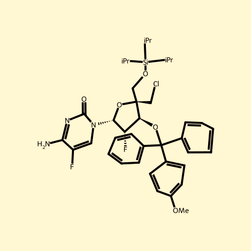 COc1ccc(C(O[C@H]2[C@H](F)[C@H](n3cc(F)c(N)nc3=O)O[C@]2(CCl)CO[Si](C(C)C)(C(C)C)C(C)C)(c2ccccc2)c2ccccc2)cc1